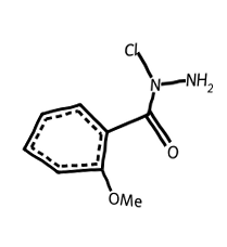 COc1ccccc1C(=O)N(N)Cl